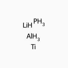 P.[AlH3].[LiH].[Ti]